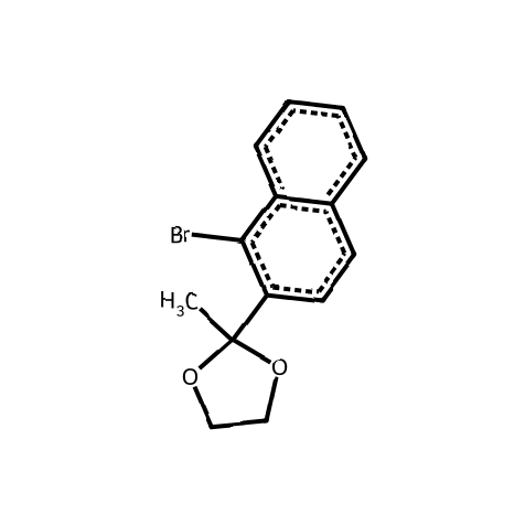 CC1(c2ccc3ccccc3c2Br)OCCO1